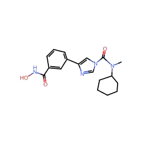 CN(C(=O)n1cnc(-c2cccc(C(=O)NO)c2)c1)C1CCCCC1